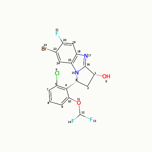 O[C@@H]1C[C@H](c2c(Cl)cccc2OC(F)F)n2c1nc1cc(F)c(Br)cc12